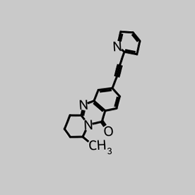 CC1CCCc2nc3cc(C#Cc4ccccn4)ccc3c(=O)n21